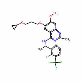 COc1cc2nc(C)nc(N[C@H](C)c3cccc(C(F)(F)F)c3F)c2cc1OCCCOC1CC1